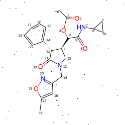 CC(=O)OC(C(=O)NC1CC1)[C@H]1CN(Cc2cc(C)on2)C(=O)[C@@H]1c1ccccc1